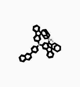 CCC1CC2CCCC(C2)C12c1ccccc1-c1cc(N(c3ccc(-c4ccc5ccccc5c4)cc3)c3ccc4c(c3)C3(c5ccccc5-4)C4CC5CC(C4)CC3C5)ccc12